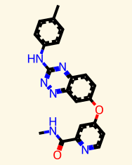 CNC(=O)c1cc(Oc2ccc3nc(Nc4ccc(C)cc4)nnc3c2)ccn1